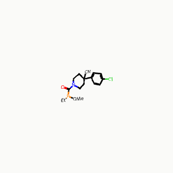 CCP(OC)C(=O)N1CCC(C#N)(c2ccc(Cl)cc2)CC1